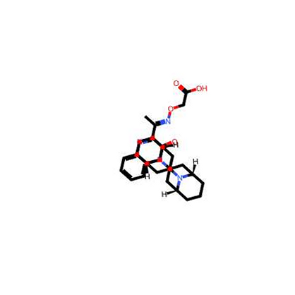 C/C(=N\OCC(=O)O)c1nc2ccccc2n(C2C[C@H]3CCC[C@@H](C2)N3C2C[C@H]3CCC[C@@H](C2)C3)c1=O